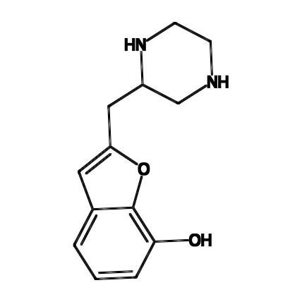 Oc1cccc2cc(CC3CNCCN3)oc12